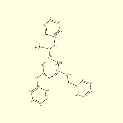 NC(Cc1ccccn1)[C@@H](COCc1ccccc1)NC(=O)OCc1ccccc1